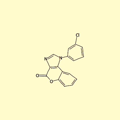 O=c1oc2ccccc2c2c1ncn2-c1cccc(Cl)c1